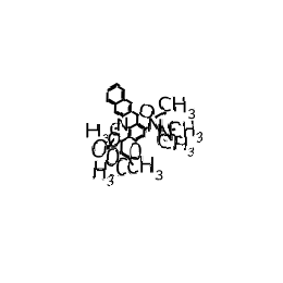 CCCN(c1cc2c(c3c1c(=O)c1cc4ccccc4cc1n3C)C1OC(=O)OC1C(C)(C)O2)N(C)C